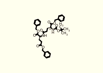 CC(C)(C)OC(=O)N[C@@H](CCC(=O)N[C@@H](CCC(=O)OCc1ccccc1)C(=O)OCc1ccccc1)C(=O)OCc1ccccc1